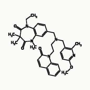 CCN1C(=O)C(C)(C)C(=O)N(C)c2cc(CN(CCn3c(=O)ccc4ccccc43)Cc3ccc(OC)nc3C)ccc21